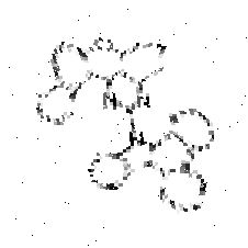 C1=C2Oc3ccc4ccccc4c3-c3nc(-n4c5ccccc5c5c6ccccc6c6ccccc6c54)nc(c32)CC1